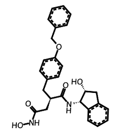 O=C(C[C@@H](Cc1ccc(OCc2ccccc2)cc1)C(=O)N[C@H]1c2ccccc2C[C@H]1O)NO